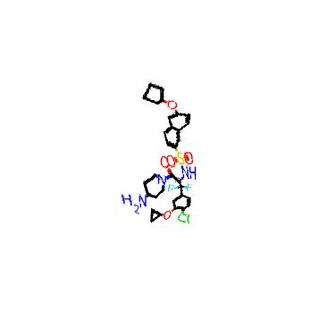 NC1CCN(C(=O)[C@@H](NS(=O)(=O)c2ccc3cc(OC4CCCC4)ccc3c2)C(F)(F)c2ccc(Cl)c(OC3CC3)c2)CC1